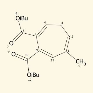 CC1=CCC=C(C(=O)OCC(C)C)C(C(=O)OCC(C)C)=C1